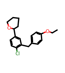 CCOc1ccc(Cc2cc(C3CCCCO3)ccc2Cl)cc1